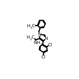 Cc1ccccc1Cn1cnc(-c2ccc(Cl)cc2Cl)c1C(C)N